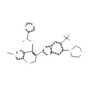 C[C@H](NC1=C(c2nc3cc(C(F)(F)F)c(N4CCOCC4)cc3[nH]2)CNc2cn(C)nc21)c1cocn1